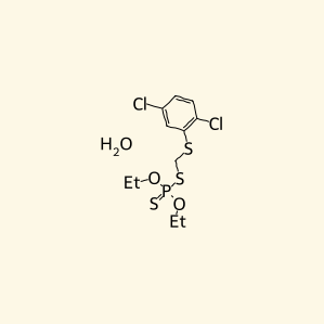 CCOP(=S)(OCC)SCSc1cc(Cl)ccc1Cl.O